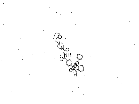 O=C(NCC(=O)N1CCN(CC2CCCO2)CC1)c1ccc(S(=O)(=O)Nc2ccccc2Oc2ccccc2)cc1